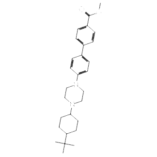 COC(=O)c1ccc(-c2ccc(N3CCN(C4CCC(C(C)(C)C)CC4)CC3)cc2)cc1